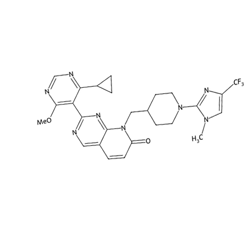 COc1ncnc(C2CC2)c1-c1ncc2ccc(=O)n(CC3CCN(c4nc(C(F)(F)F)cn4C)CC3)c2n1